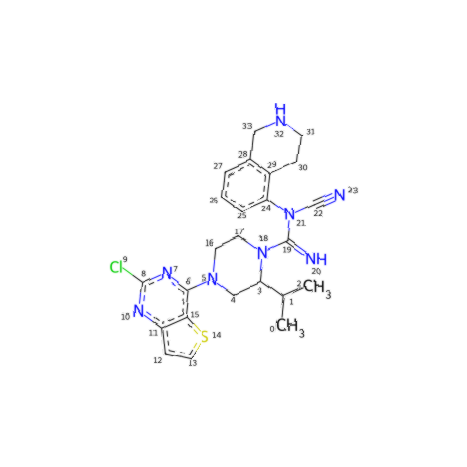 CC(C)C1CN(c2nc(Cl)nc3ccsc23)CCN1C(=N)N(C#N)c1cccc2c1CCNC2